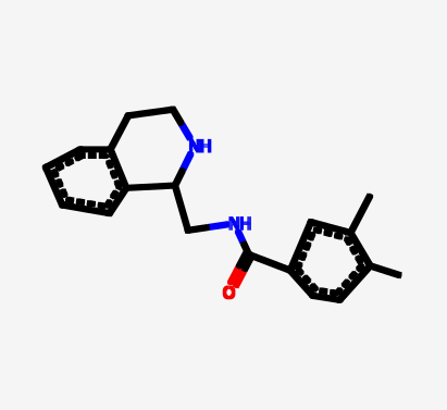 Cc1ccc(C(=O)NCC2NCCc3ccccc32)cc1C